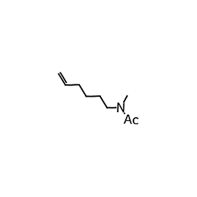 C=CCCCCN(C)C(C)=O